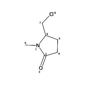 CN1C(=O)CCC1CCl